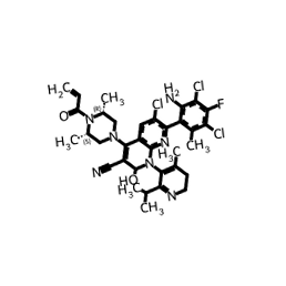 C=CC(=O)N1[C@H](C)CN(C2=C(C#N)C(O)N(C3=C(C)CCN=C3C(C)C)c3nc(-c4c(C)c(Cl)c(F)c(Cl)c4N)c(Cl)cc32)C[C@@H]1C